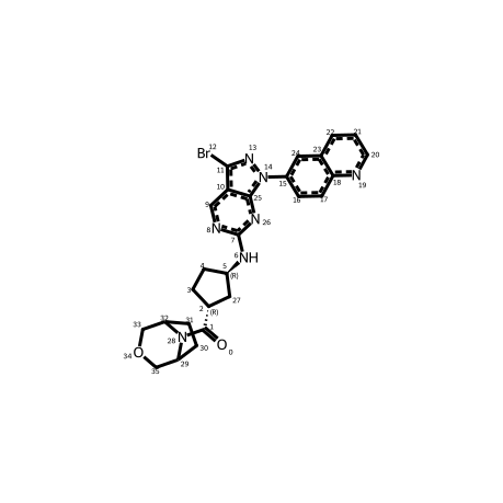 O=C([C@@H]1CC[C@@H](Nc2ncc3c(Br)nn(-c4ccc5ncccc5c4)c3n2)C1)N1C2CCC1COC2